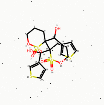 O=S1(=O)OCCCC1(C(O)c1ccsc1)C1(C(O)c2ccsc2)CCCOS1(=O)=O